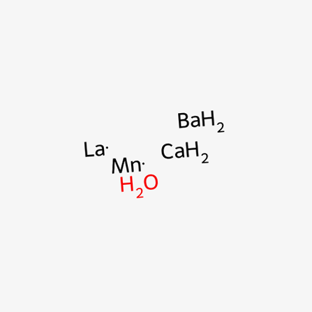 O.[BaH2].[CaH2].[La].[Mn]